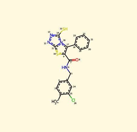 Cc1ccc(CNC(=O)c2sc3nnc(S)n3c2-c2ccccc2)cc1Cl